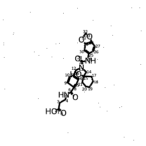 O=C(O)CCNC(=O)c1ccc(CN(CC2(O)CCCCC2)C(=O)Nc2ccc3c(c2)OCO3)cc1